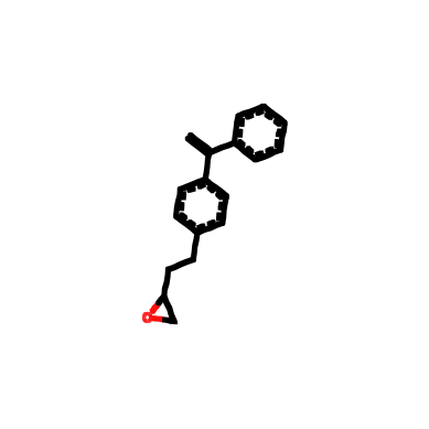 C=C(c1ccccc1)c1ccc(CCC2CO2)cc1